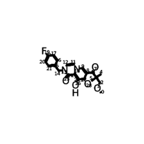 COCC(C)(C)C(=O)c1cn2ccn(Cc3ccc(F)cc3)c(=O)c2c(O)c1=O